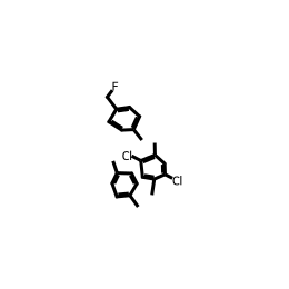 Cc1cc(Cl)c(C)cc1Cl.Cc1ccc(C)cc1.Cc1ccc(CF)cc1